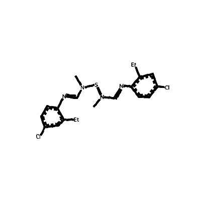 CCc1cc(Cl)ccc1N=CN(C)SN(C)C=Nc1ccc(Cl)cc1CC